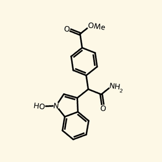 COC(=O)c1ccc(C(C(N)=O)c2cn(O)c3ccccc23)cc1